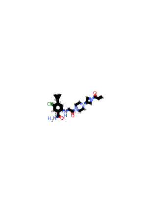 C=CC(=O)N1CC(N2CCN(C(=O)CNc3cc(C4CC4)c(Cl)cc3C(N)=O)CC2)C1